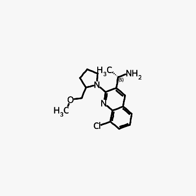 COCC1CCCN1c1nc2c(Cl)cccc2cc1[C@H](C)N